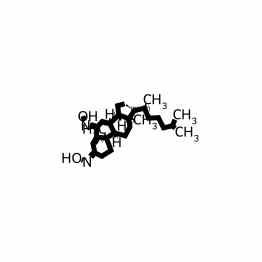 CC(C)CCC[C@@H](C)[C@H]1CC[C@H]2[C@@H]3CC(=NO)C4=CC(=NO)CC[C@]4(C)[C@H]3CC[C@]12C